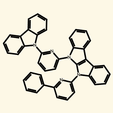 c1ccc(-c2cccc(-n3c4ccccc4c4c5ccccc5n(-c5cccc(-n6c7ccccc7c7ccccc76)n5)c43)n2)cc1